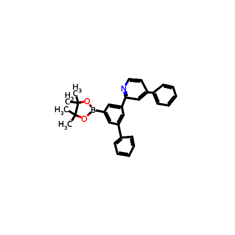 CC1(C)OB(c2cc(-c3ccccc3)cc(-c3cc(-c4ccccc4)ccn3)c2)OC1(C)C